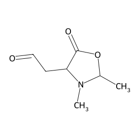 CC1OC(=O)C(CC=O)N1C